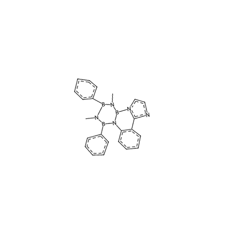 CN1B(c2ccccc2)N(C)B2N(B1c1ccccc1)c1ccccc1-c1nccn12